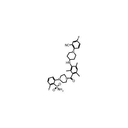 Cc1cc(C)c(C(=O)N2CCN(c3cccc(F)c3S(N)(=O)=O)CC2)c(C)c1NC1CCN(c2ccc(F)cc2C#N)CC1